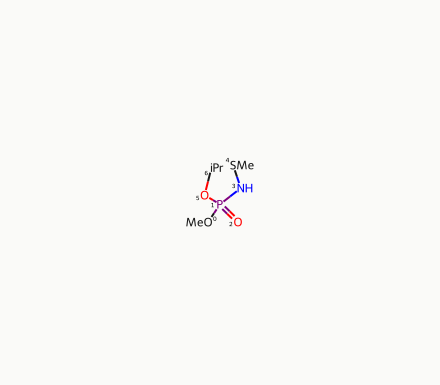 COP(=O)(NSC)OC(C)C